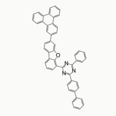 c1ccc(-c2ccc(-c3nc(-c4ccccc4)nc(-c4cccc5c4oc4cc(-c6ccc7c8ccccc8c8ccccc8c7c6)ccc45)n3)cc2)cc1